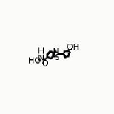 O=C(NO)c1ccc2nc(-c3cccc(O)c3)sc2c1